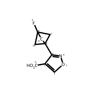 O=C(O)c1conc1C12CC(F)(C1)C2